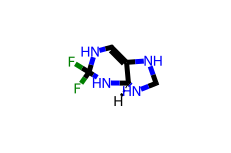 FC1(F)NC=C2NCN[C@H]2N1